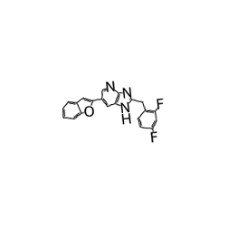 Fc1ccc(Cc2nc3ncc(-c4cc5ccccc5o4)cc3[nH]2)c(F)c1